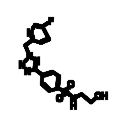 O=S(=O)(NCCO)c1ccc(-c2nnn(Cc3ccc(F)cn3)n2)cc1